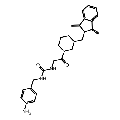 C=C1c2ccccc2C(=C)C1CC1CCCN(C(=O)CNC(=O)NCc2ccc(N)cc2)C1